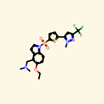 CCOc1ccc2c(ccn2S(=O)(=O)c2ccc(-c3cc(C(F)(F)F)nn3C)s2)c1CN(C)C